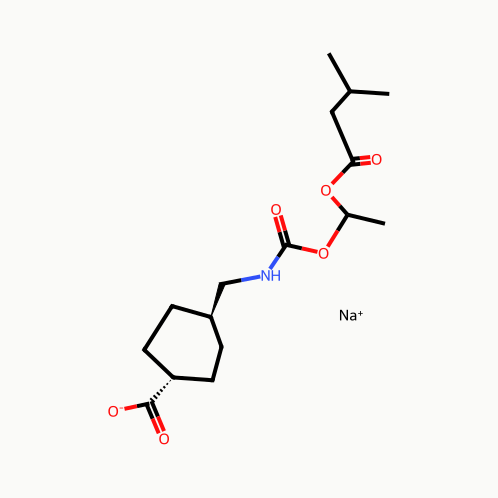 CC(C)CC(=O)OC(C)OC(=O)NC[C@H]1CC[C@H](C(=O)[O-])CC1.[Na+]